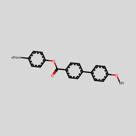 CCCCCc1ccc(OC(=O)c2ccc(-c3ccc(OCCC)cc3)cc2)cc1